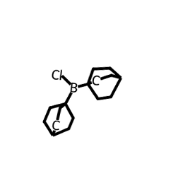 ClB(C12CCC(CC1)CC2)C12CCC(CC1)CC2